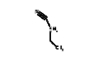 CC[SiH2]C#N